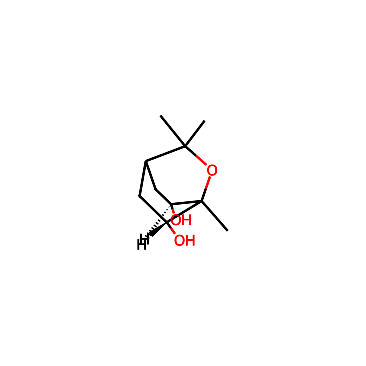 CC1(C)OC2(C)[C@H](O)CC1C[C@@H]2O